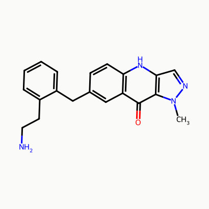 Cn1ncc2[nH]c3ccc(Cc4ccccc4CCN)cc3c(=O)c21